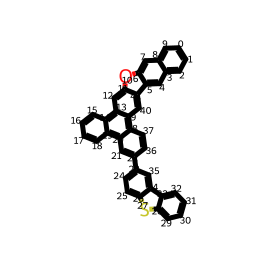 c1ccc2cc3c(cc2c1)oc1cc2c4ccccc4c4cc(-c5ccc6sc7ccccc7c6c5)ccc4c2cc13